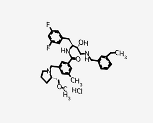 CCc1cccc(CNC[C@@H](O)[C@H](Cc2cc(F)cc(F)c2)NC(=O)c2cc(C)cc(CN3CCC[C@H]3COC)c2)c1.Cl